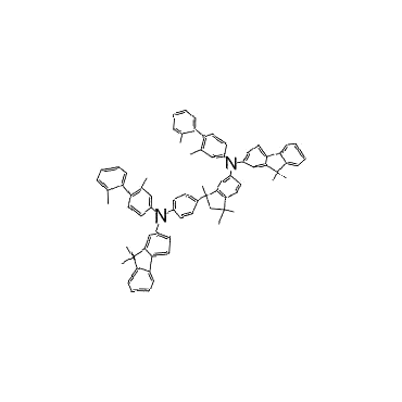 Cc1ccccc1-c1ccc(N(c2ccc(C3(C)CC(C)(C)c4ccc(N(c5ccc(-c6ccccc6C)c(C)c5)c5ccc6c(c5)C(C)(C)c5ccccc5-6)cc43)cc2)c2ccc3c(c2)C(C)(C)c2ccccc2-3)cc1C